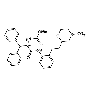 COC(=O)N[C@H](C(=O)Nc1ccccc1CCC1CN(C(=O)O)CCO1)C(c1ccccc1)c1ccccc1